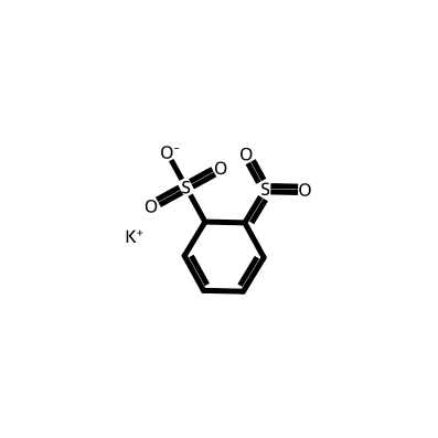 O=S(=O)=C1C=CC=CC1S(=O)(=O)[O-].[K+]